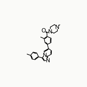 Cc1ccc(-c2cnc3ccc(-c4ccc(C(=O)N5CCN(C)CC5)c(C)c4)cn23)cc1